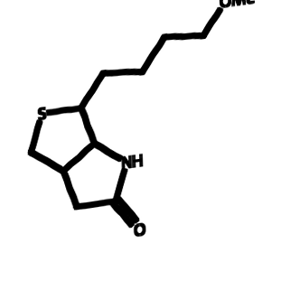 COCCCCC1SCC2CC(=O)NC21